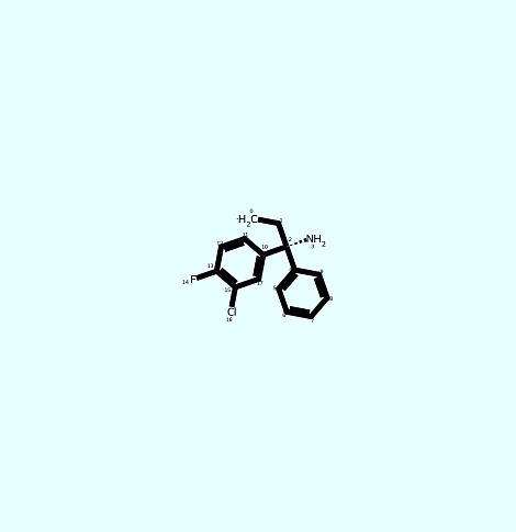 [CH2]C[C@@](N)(c1ccccc1)c1ccc(F)c(Cl)c1